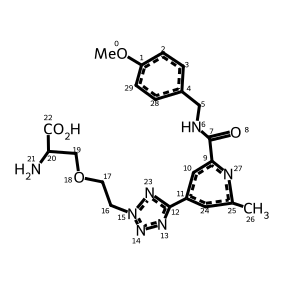 COc1ccc(CNC(=O)c2cc(-c3nnn(CCOCC(N)C(=O)O)n3)cc(C)n2)cc1